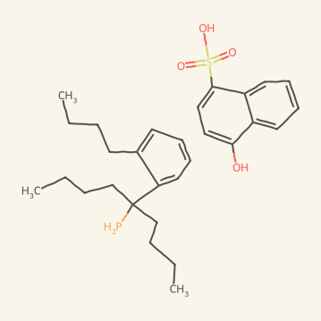 CCCCc1ccccc1C(P)(CCCC)CCCC.O=S(=O)(O)c1ccc(O)c2ccccc12